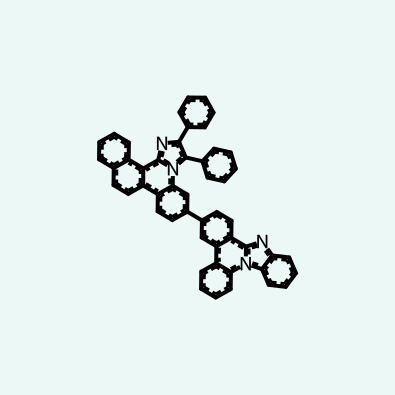 c1ccc(-c2nc3c4c5ccccc5ccc4c4ccc(-c5ccc6c(c5)c5ccccc5n5c7ccccc7nc65)cc4n3c2-c2ccccc2)cc1